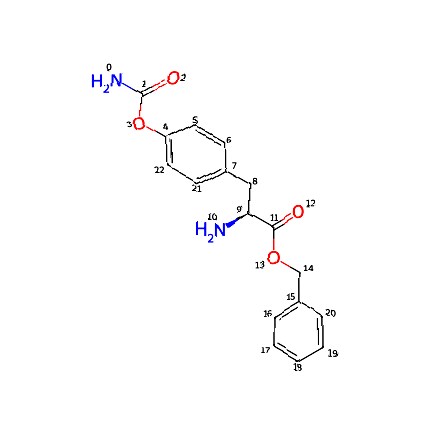 NC(=O)Oc1ccc(C[C@H](N)C(=O)OCc2ccccc2)cc1